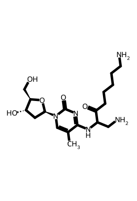 Cc1cn([C@H]2C[C@H](O)[C@@H](CO)O2)c(=O)nc1NC(CN)C(=O)CCCCCN